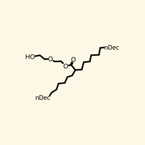 CCCCCCCCCCCCCCCCC(CCCCCCCCCCCCCCCC)C(=O)OCCOCCO